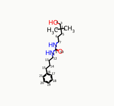 CC(C)(CO)CCCNC(=O)NCCCCc1ccccc1